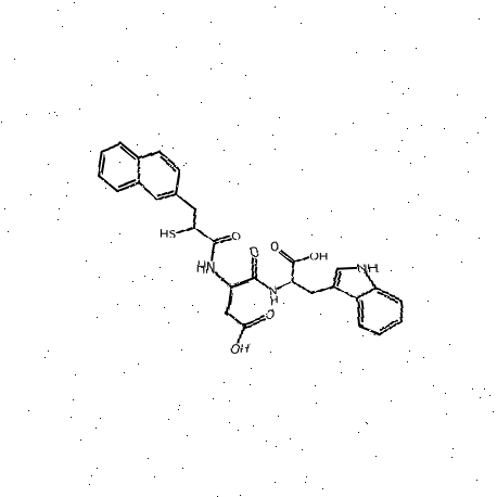 O=C(O)CC(NC(=O)C(S)Cc1ccc2ccccc2c1)C(=O)NC(Cc1c[nH]c2ccccc12)C(=O)O